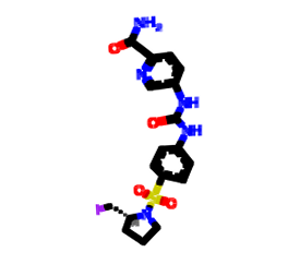 NC(=O)c1ccc(NC(=O)Nc2ccc(S(=O)(=O)N3CCC[C@@H]3CI)cc2)cn1